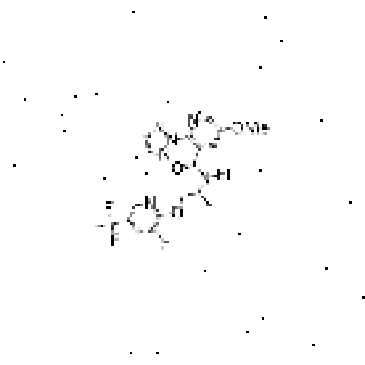 CCN(C(=O)c1cc(OC)cnc1-n1nccn1)[C@@H](C)COc1ncc(C(C)(F)F)cc1F